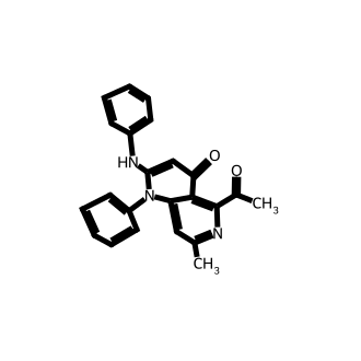 CC(=O)c1nc(C)cc2c1c(=O)cc(Nc1ccccc1)n2-c1ccccc1